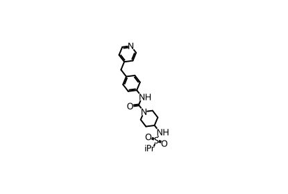 CC(C)S(=O)(=O)NC1CCN(C(=O)Nc2ccc(Cc3ccncc3)cc2)CC1